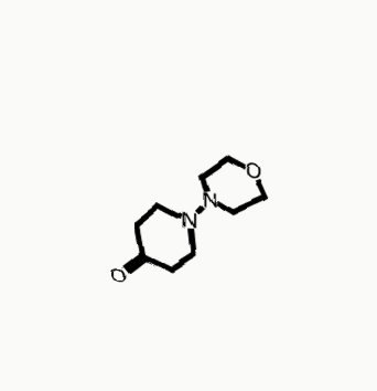 O=C1CCN(N2CCOCC2)CC1